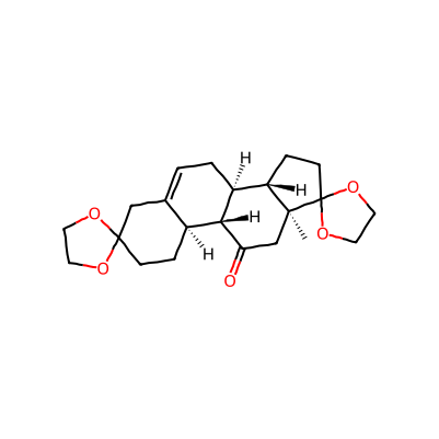 C[C@]12CC(=O)[C@H]3[C@@H](CC=C4CC5(CC[C@@H]43)OCCO5)[C@@H]1CCC21OCCO1